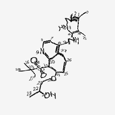 Cc1n[nH]c(Nc2ccnc3c(S(=O)(=O)C(C)(C)C)c(OCC(C)O)ccc23)c1C